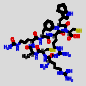 C[C@H](NC(=O)[C@H](CS)NC(=O)[C@@H](N)CCCNC(=N)N)C(=O)N[C@@H](CCCNC(N)=O)C(=O)N[C@H](Cc1ccccc1)C(=O)N[C@@H](CCCNC(=N)N)C(=O)N[C@H](Cc1c[nH]c2ccccc12)C(=O)N[C@@H](CS)C(=O)O